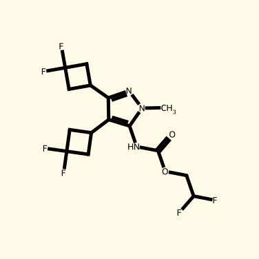 Cn1nc(C2CC(F)(F)C2)c(C2CC(F)(F)C2)c1NC(=O)OCC(F)F